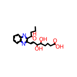 CCCC(O)c1nc2ccccc2nc1/C=C/C(O)C(O)CCCC(=O)O